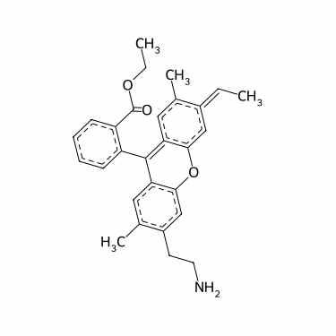 CC=c1cc2c(cc1C)=C(c1ccccc1C(=O)OCC)c1cc(C)c(CCN)cc1O2